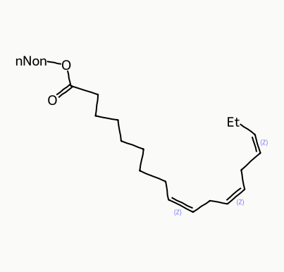 CC/C=C\C/C=C\C/C=C\CCCCCCCC(=O)OCCCCCCCCC